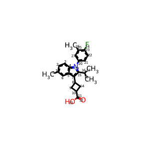 Cc1ccc2c(c1)c(C1CC(C(=O)O)C1)c(C(C)C)n2-c1ccc(F)c(C)c1